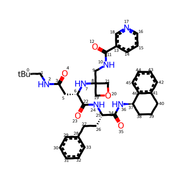 CC(C)(C)CNC(=O)C[C@H](NC1(CNC(=O)c2cccnc2)COC1)C(=O)N[C@@H](CCc1ccccc1)C(=O)N[C@@H]1CCCc2ccccc21